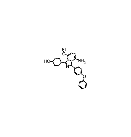 CCOc1cnc(N)c2c(-c3ccc(Oc4ccccc4)cc3)nc(C3CCC(O)CC3)n12